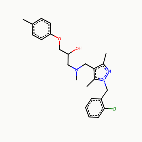 Cc1ccc(OCC(O)CN(C)Cc2c(C)nn(Cc3ccccc3Cl)c2C)cc1